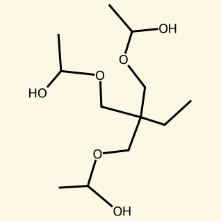 CCC(COC(C)O)(COC(C)O)COC(C)O